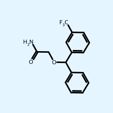 NC(=O)COC(c1ccccc1)c1cccc(C(F)(F)F)c1